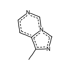 Cc1ncn2cnccc12